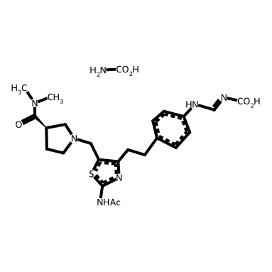 CC(=O)Nc1nc(CCc2ccc(NC=NC(=O)O)cc2)c(CN2CC[C@@H](C(=O)N(C)C)C2)s1.NC(=O)O